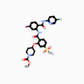 CC(C)(C)OC(=O)N1CCC(Oc2cc(S(C)(=O)=O)ccc2C(=O)Nc2cc(I)ccc2C(=O)Nc2ccc(Cl)cn2)CC1